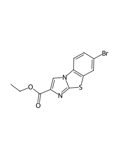 CCOC(=O)c1cn2c(n1)sc1cc(Br)ccc12